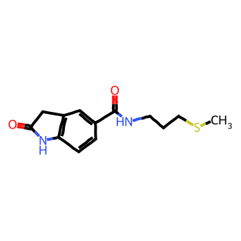 CSCCCNC(=O)c1ccc2c(c1)CC(=O)N2